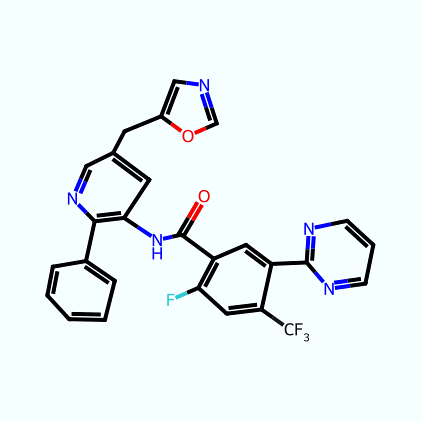 O=C(Nc1cc(Cc2cnco2)cnc1-c1ccccc1)c1cc(-c2ncccn2)c(C(F)(F)F)cc1F